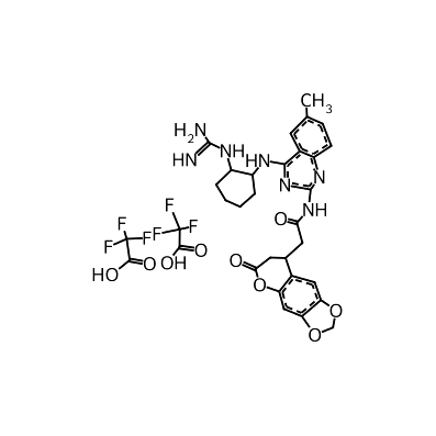 Cc1ccc2nc(NC(=O)CC3CC(=O)Oc4cc5c(cc43)OCO5)nc(NC3CCCCC3NC(=N)N)c2c1.O=C(O)C(F)(F)F.O=C(O)C(F)(F)F